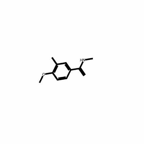 C=C(NC)c1ccc(OC)c(C)c1